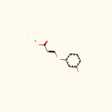 COC(=O)C=COc1cccc(O)c1